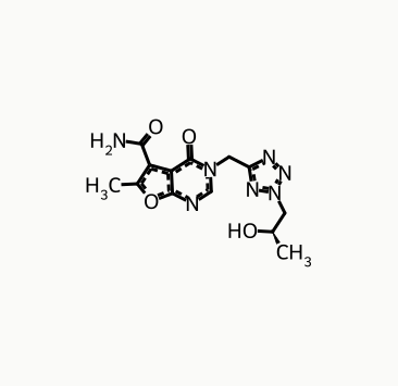 Cc1oc2ncn(Cc3nnn(C[C@@H](C)O)n3)c(=O)c2c1C(N)=O